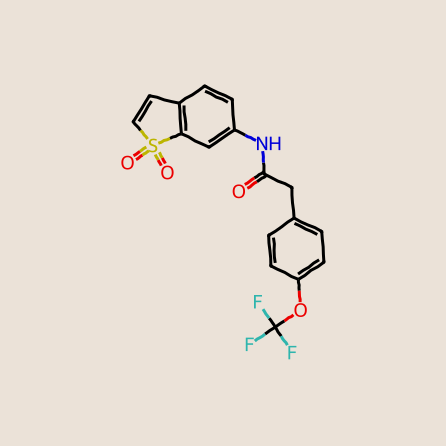 O=C(Cc1ccc(OC(F)(F)F)cc1)Nc1ccc2c(c1)S(=O)(=O)C=C2